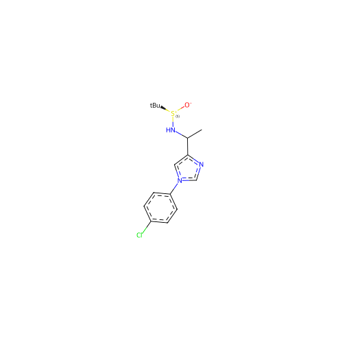 CC(N[S@+]([O-])C(C)(C)C)c1cn(-c2ccc(Cl)cc2)cn1